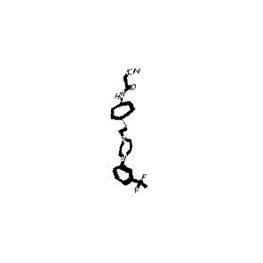 CC(F)(F)c1cccc(N2CCN(CC[C@H]3CC[C@H](NC(=O)CC#N)CC3)CC2)c1